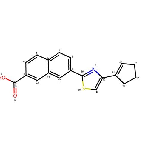 O=C(O)c1ccc2ccc(-c3nc(C4=CCCC4)cs3)cc2c1